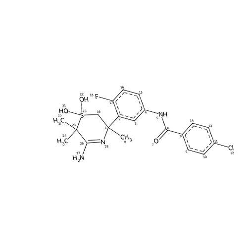 CC1(c2cc(NC(=O)c3ccc(Cl)cc3)ccc2F)CS(O)(O)C(C)(C)C(N)=N1